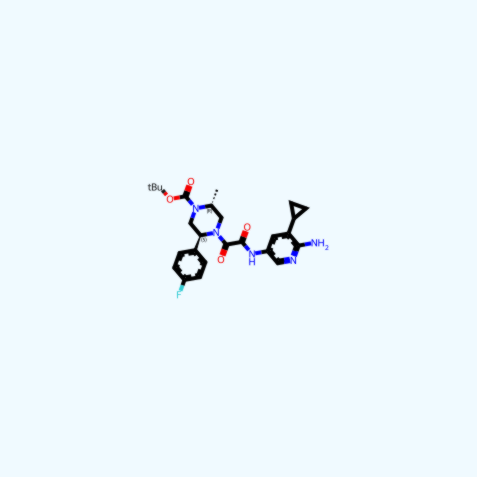 C[C@@H]1CN(C(=O)C(=O)Nc2cnc(N)c(C3CC3)c2)[C@@H](c2ccc(F)cc2)CN1C(=O)OC(C)(C)C